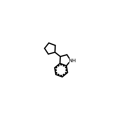 c1ccc2c(c1)NCC2C1CCCC1